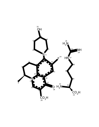 C[C@H]1CCc2c(N3CCC(O)CC3)c(F)cc3c(=O)c(C(=O)O)cn1c23.N=C(N)NCCC[C@H](N)C(=O)O